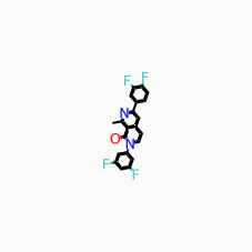 Cc1nc(-c2ccc(F)c(F)c2)cc2ccn(-c3cc(F)cc(F)c3)c(=O)c12